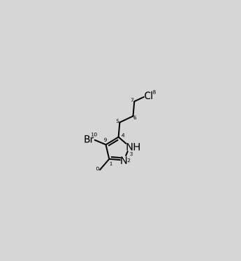 Cc1n[nH]c(CCCCl)c1Br